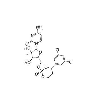 C[C@@]1(O)[C@H](O)[C@@H](COP2(=O)OCCC(c3cc(Cl)cc(Cl)c3)O2)O[C@H]1n1ccc(N)nc1=O